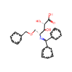 O=C(O)[C@@H](O)[C@@H](O)[C@@H](COCc1ccccc1)N=C(c1ccccc1)c1ccccc1